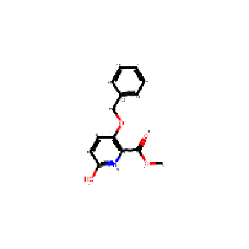 COC(=O)c1nc(O)ccc1OCc1ccccc1